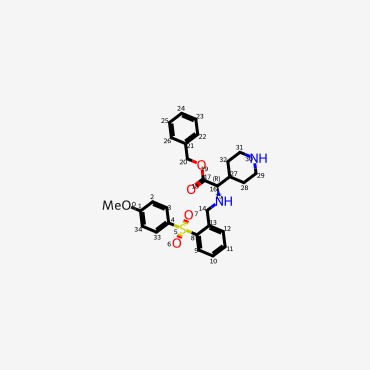 COc1ccc(S(=O)(=O)c2ccccc2CN[C@@H](C(=O)OCc2ccccc2)C2CCNCC2)cc1